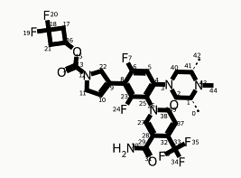 C[C@@H]1CN(c2cc(F)c(C3=CCN(C(=O)OC4CC(F)(F)C4)C3)c(F)c2-n2cc(C(N)=O)c(C(F)(F)F)cc2=O)C[C@H](C)N1C